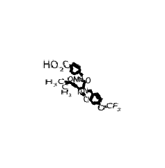 COC(C)(C)C#CC1N=C(Cl)N(Cc2ccc(OC(F)(F)F)cc2)C1C(=O)NCc1ccc(C(=O)O)cc1